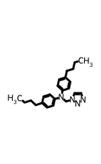 CCCCc1ccc(N(Cn2ccnn2)c2ccc(CCCC)cc2)cc1